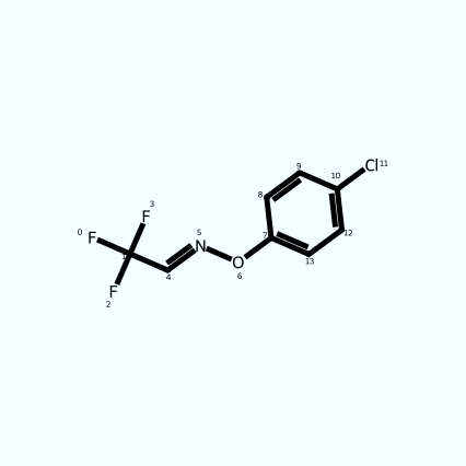 FC(F)(F)C=NOc1ccc(Cl)cc1